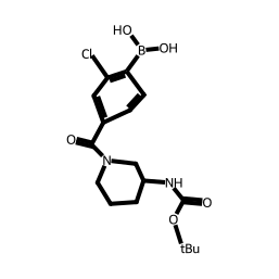 CC(C)(C)OC(=O)NC1CCCN(C(=O)c2ccc(B(O)O)c(Cl)c2)C1